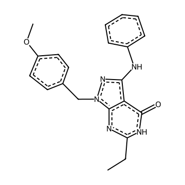 CCc1nc2c(c(Nc3ccccc3)nn2Cc2ccc(OC)cc2)c(=O)[nH]1